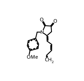 C=C/C=C\C=C1/CC(=O)C(=O)N1Cc1ccc(OC)cc1